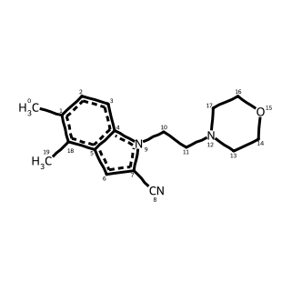 Cc1ccc2c(cc(C#N)n2CCN2CCOCC2)c1C